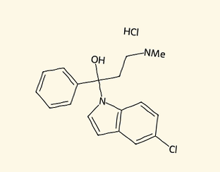 CNCCC(O)(c1ccccc1)n1ccc2cc(Cl)ccc21.Cl